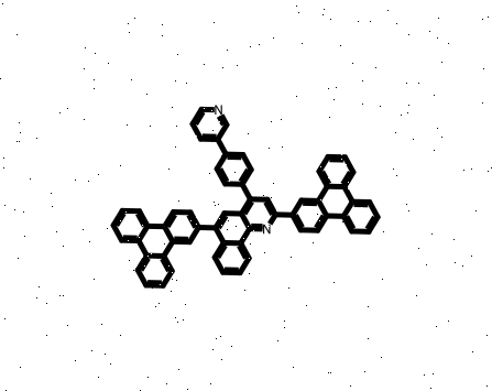 c1cncc(-c2ccc(-c3cc(-c4ccc5c6ccccc6c6ccccc6c5c4)nc4c3cc(-c3ccc5c6ccccc6c6ccccc6c5c3)c3ccccc34)cc2)c1